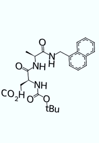 C[C@H](NC(=O)[C@H](CC(=O)O)NC(=O)OC(C)(C)C)C(=O)NCc1cccc2ccccc12